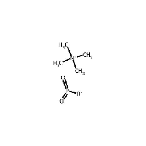 C[N+](C)(C)C.O=P(=O)[O-]